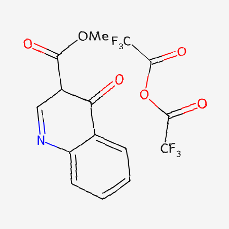 COC(=O)C1C=Nc2ccccc2C1=O.O=C(OC(=O)C(F)(F)F)C(F)(F)F